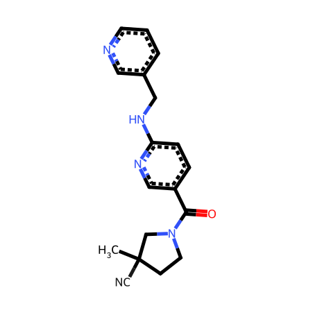 CC1(C#N)CCN(C(=O)c2ccc(NCc3cccnc3)nc2)C1